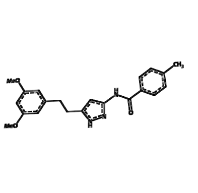 COc1cc(CCc2cc(NC(=O)c3ccc(C)cc3)n[nH]2)cc(OC)c1